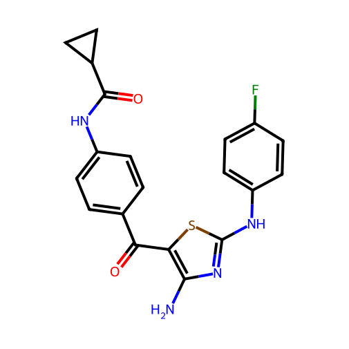 Nc1nc(Nc2ccc(F)cc2)sc1C(=O)c1ccc(NC(=O)C2CC2)cc1